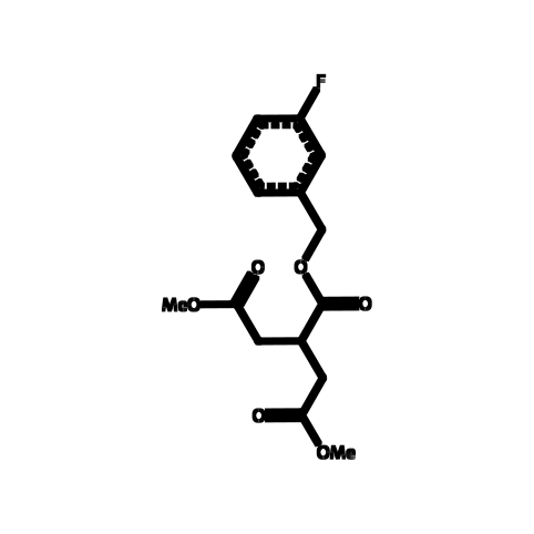 COC(=O)CC(CC(=O)OC)C(=O)OCc1cccc(F)c1